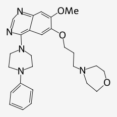 COc1cc2ncnc(N3CCN(c4ccccc4)CC3)c2cc1OCCCN1CCOCC1